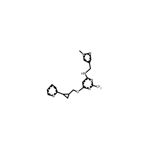 Cn1cc(CNc2cc(OCC3CC3c3ccccn3)nc(C(F)(F)F)n2)cn1